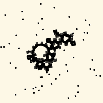 C[C@@H]1CCCC[C@H](n2ccc(-c3cc(Cl)ccc3C#N)cc2=O)c2cc(ccn2)-c2c(cnn2C(F)F)NC1=O